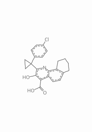 O=C(O)c1c(O)c(C2(c3ccc(Cl)cc3)CC2)nc2c3c(ccc12)CCCC3